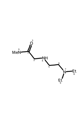 [CH2]NC(=O)CNCCN(CC)CC